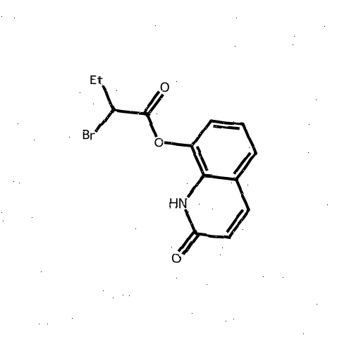 CCC(Br)C(=O)Oc1cccc2ccc(=O)[nH]c12